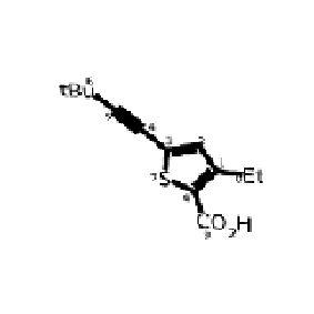 CCc1cc(C#CC(C)(C)C)sc1C(=O)O